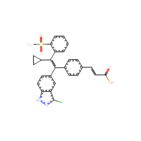 CS(=O)(=O)c1ccccc1C(=C(c1ccc(C=CC(=O)O)cc1)c1ccc2[nH]nc(F)c2c1)C1CC1